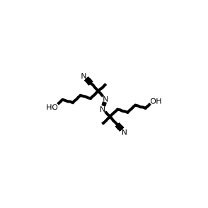 CC(C#N)(CCCCO)/N=N/C(C)(C#N)CCCCO